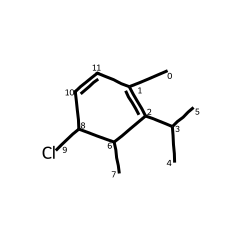 CC1=C(C(C)C)C(C)C(Cl)C=C1